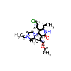 C=Cc1[nH]c(=O)c(/C(C)=C/OCC)c(N2CCN(CC)CC2)c1/C=C/Cl